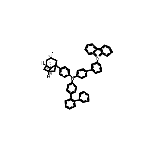 C[C@H]1C[C@H]2C[C@H]3CC(c4ccc(N(c5ccc(-c6cccc(-n7c8ccccc8c8ccccc87)c6)cc5)c5ccc(-c6ccccc6-c6ccccc6)cc5)cc4)(C1)[C@]23C